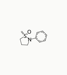 C=S1(=O)CCCN1c1ccccc1